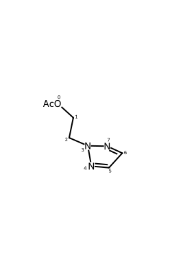 CC(=O)OCCn1nccn1